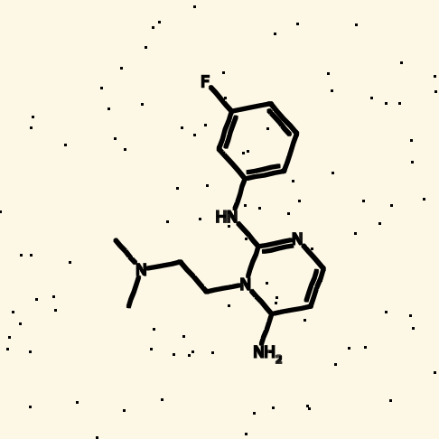 CN(C)CCN1C(Nc2cccc(F)c2)=NC=CC1N